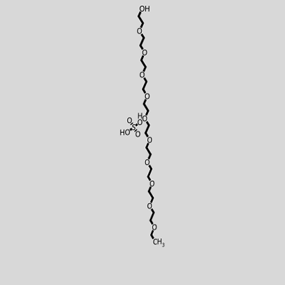 CCOCCOCCOCCOCCOCCOCCOCCOCCOCCOCCO.O=S(=O)(O)O